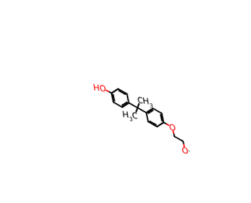 CC(C)(c1ccc(O)cc1)c1ccc(OCC[O])cc1